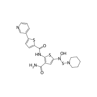 NC(=O)c1cc(N(O)SN2CCCCC2)sc1NC(=O)c1ccc(-c2cccnc2)s1